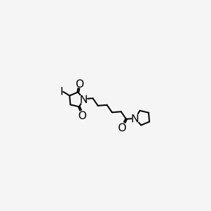 O=C(CCCCCN1C(=O)CC(I)C1=O)N1CCCC1